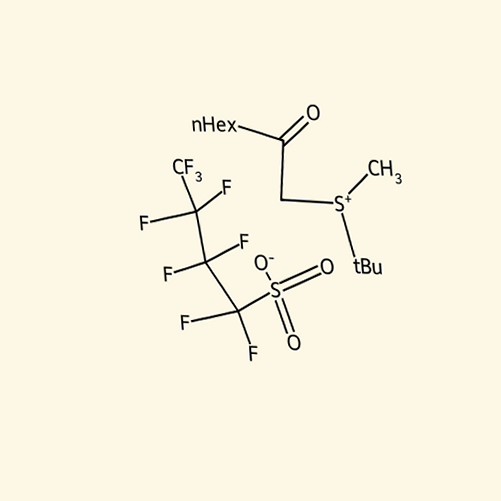 CCCCCCC(=O)C[S+](C)C(C)(C)C.O=S(=O)([O-])C(F)(F)C(F)(F)C(F)(F)C(F)(F)F